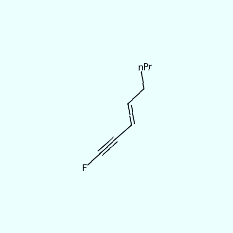 [CH2]CCCC=CC#CF